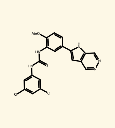 COc1ccc(-c2cc3cnncc3[nH]2)cc1NC(=S)Nc1cc(Cl)cc(Cl)c1